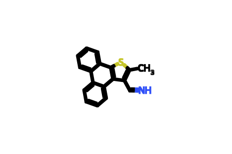 Cc1sc2c3ccccc3c3ccccc3c2c1C=N